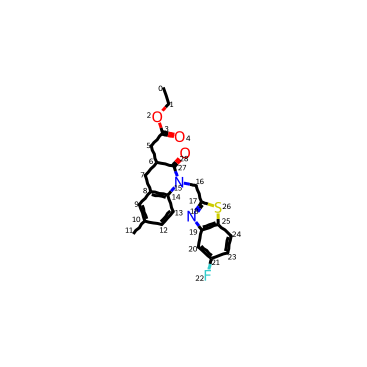 CCOC(=O)CC1Cc2cc(C)ccc2N(Cc2nc3cc(F)ccc3s2)C1=O